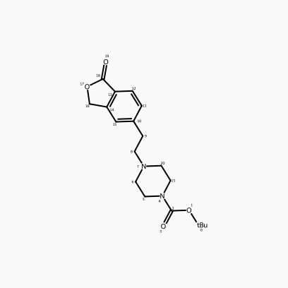 CC(C)(C)OC(=O)N1CCN(CCc2ccc3c(c2)COC3=O)CC1